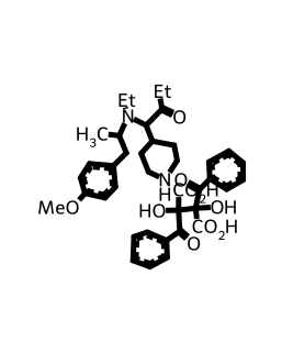 CCC(=O)C(C1CCNCC1)N(CC)C(C)Cc1ccc(OC)cc1.O=C(O)C(O)(C(=O)c1ccccc1)C(O)(C(=O)O)C(=O)c1ccccc1